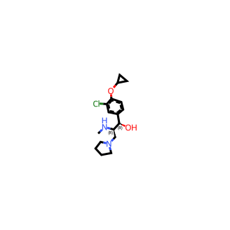 CN[C@H](CN1CCCC1)[C@H](O)c1ccc(OC2CC2)c(Cl)c1